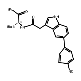 [C-]#[N+]c1ccc(-c2ccc3[nH]cc(CC(=O)N[C@H](C(=O)C(C)C)[C@@H](C)CC)c3c2)cc1